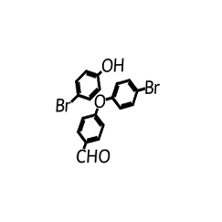 O=Cc1ccc(Oc2ccc(Br)cc2)cc1.Oc1ccc(Br)cc1